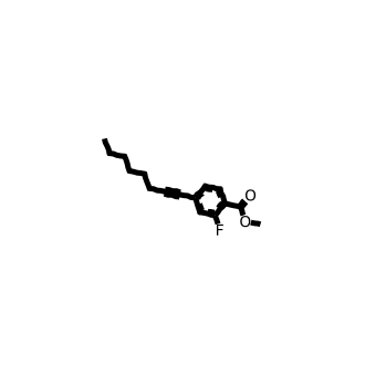 CCCCCCC#Cc1ccc(C(=O)OC)c(F)c1